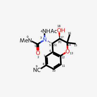 CNC(=O)N(NC(C)=O)[C@H]1c2cc(C#N)ccc2OC(C)(C)[C@@H]1O